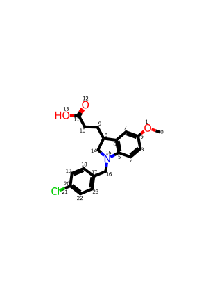 COc1ccc2c(c1)C(CCC(=O)O)CN2Cc1ccc(Cl)cc1